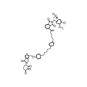 CCOc1cc([C@@H](CS(C)(=O)=O)N2C(=O)c3cccc(NCCCCc4ccc(CCCCCc5ccc(OCc6scc7c6CN(C6CCC(=O)NC6=O)C7=O)cc5)cc4)c3C2=O)ccc1OC